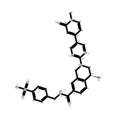 CCS(=O)(=O)c1ccc(CNC(=O)c2ccc3c(c2)CN(c2ncc(-c4ccn(C)c(=O)c4)cn2)C[C@@H]3C(C)C)cc1